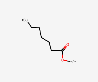 CCCOC(=O)CCCCCC(C)(C)C